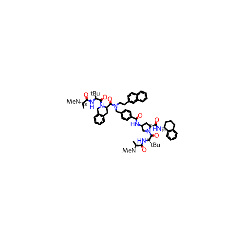 CN[C@@H](C)C(=O)NC(C(=O)N1Cc2ccccc2CC1C(=O)N(CCc1ccc2ccccc2c1)Cc1ccc(C(=O)NC2C[C@@H](C(=O)N[C@@H]3CCCc4ccccc43)N(C(=O)[C@@H](NC(=O)[C@H](C)NC)C(C)(C)C)C2)cc1)C(C)(C)C